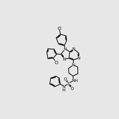 O=S(=O)(Nc1ccccc1)NC1CCN(c2ncnc3c2nc(-c2ccccc2Cl)n3-c2ccc(Cl)cc2)CC1